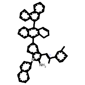 C/C(=C\c1c(N)n(-c2ccc3ccccc3c2)c2ccc(-c3c4c(c(-c5cc6ccccc6c6ccccc56)c5ccccc35)C=CCC4)cc12)c1cccc(C)c1